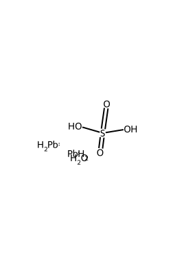 O.O=S(=O)(O)O.[PbH2].[PbH2]